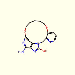 Nc1nc2cc3c1nc(O)n3Cc1ncccc1OCCCCCO2